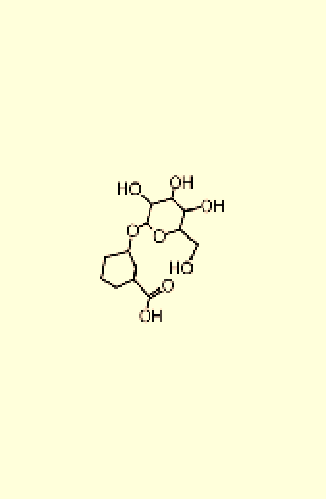 O=C(O)C1CCCC(OC2OC(CO)C(O)C(O)C2O)C1